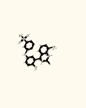 CCS(=O)(=O)c1cccc(Oc2ccc(Cl)c(-c3nc(C)nc4c(C(F)(F)F)cccc34)c2)c1